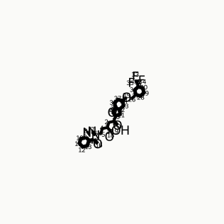 O=C(CC(CCn1nnc2ccccc2c1=O)C(=O)O)c1cc2cc(OCc3cccc(C(F)(F)F)c3)ccc2o1